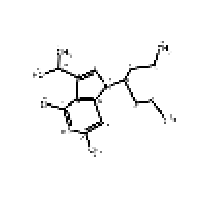 CCCC(CCC)n1cc(C(C)O)c2c(Cl)nc(C)cc21